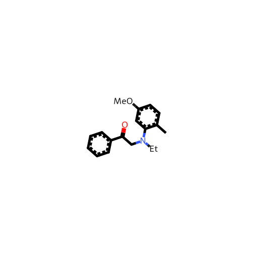 CCN(CC(=O)c1ccccc1)c1cc(OC)ccc1C